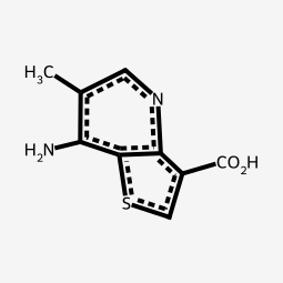 Cc1cnc2c(C(=O)O)csc2c1N